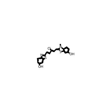 CN1/C(=C/C=C(Cl)/C=C/c2nc3ccc(O)cc3s2)Sc2cc(O)ccc21